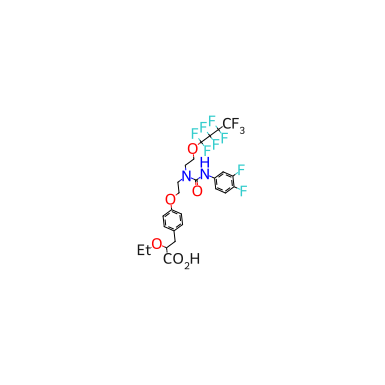 CCOC(Cc1ccc(OCCN(CCOC(F)(F)C(F)(F)C(F)(F)C(F)(F)F)C(=O)Nc2ccc(F)c(F)c2)cc1)C(=O)O